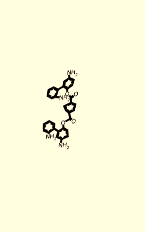 Nc1ccc(OC(=O)c2ccc(C(=O)Oc3ccc(N)cc3-c3ccccc3N)cc2)c(-c2ccccc2N)c1